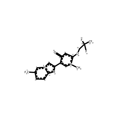 Cn1cc(-c2cn3cc(C(F)(F)F)ccc3n2)c(=O)cc1OCC(F)(F)C(F)(F)F